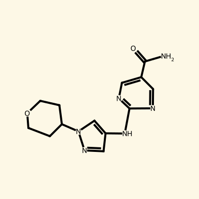 NC(=O)c1cnc(Nc2cnn(C3CCOCC3)c2)nc1